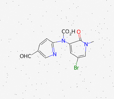 Cn1cc(Br)cc(N(C(=O)O)c2ccc(C=O)cn2)c1=O